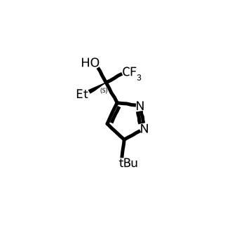 CC[C@](O)(C1=CC(C(C)(C)C)N=N1)C(F)(F)F